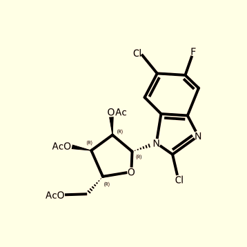 CC(=O)OC[C@H]1O[C@@H](n2c(Cl)nc3cc(F)c(Cl)cc32)[C@H](OC(C)=O)[C@@H]1OC(C)=O